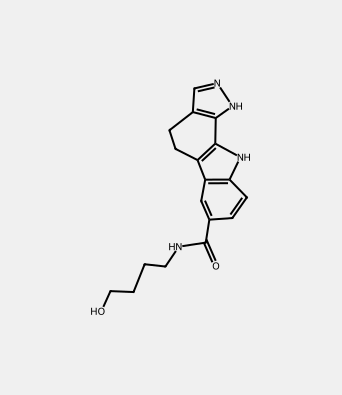 O=C(NCCCCO)c1ccc2[nH]c3c(c2c1)CCc1cn[nH]c1-3